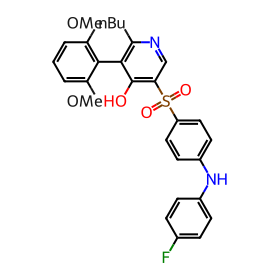 CCCCc1ncc(S(=O)(=O)c2ccc(Nc3ccc(F)cc3)cc2)c(O)c1-c1c(OC)cccc1OC